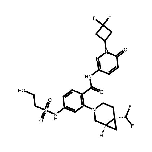 O=C(Nc1ccc(=O)n(C2CC(F)(F)C2)n1)c1ccc(NS(=O)(=O)CCO)cc1N1CC[C@@]2(C(F)F)C[C@H]2C1